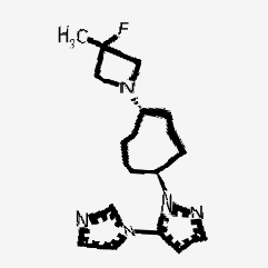 CC1(F)CN([C@H]2CC[C@H](n3nccc3-n3ccnc3)CC2)C1